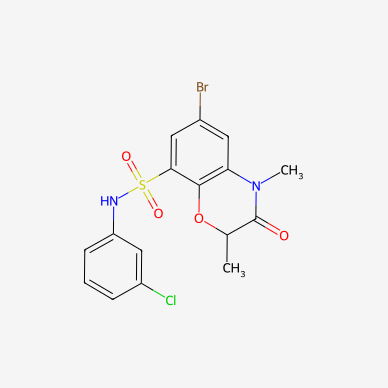 CC1Oc2c(cc(Br)cc2S(=O)(=O)Nc2cccc(Cl)c2)N(C)C1=O